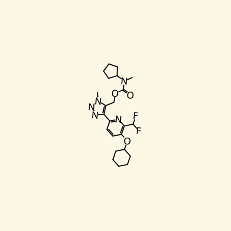 CN(C(=O)OCc1c(-c2ccc(OC3CCCCC3)c(C(F)F)n2)nnn1C)C1CCCC1